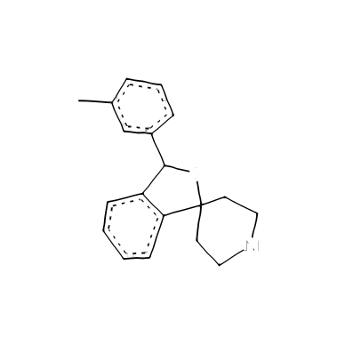 Cc1cccc(C2SC3(CCNCC3)c3ccccc32)c1